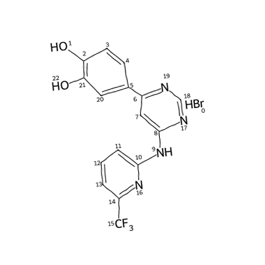 Br.Oc1ccc(-c2cc(Nc3cccc(C(F)(F)F)n3)ncn2)cc1O